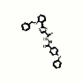 O=C(NNC(=O)c1csc(-c2ccccc2OCc2ccccc2)n1)c1ccc(Oc2ccccc2)cc1